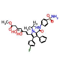 COC(=O)C[C@H](O)C[C@@H](O)C=Cc1c(-c2ccc(F)cc2)c(-c2ccccc2)c(C(=O)Nc2ccc(S(N)(=O)=O)cc2)n1C(C)C